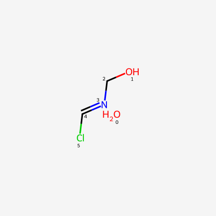 O.OCN=CCl